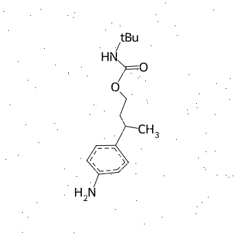 CC(CCOC(=O)NC(C)(C)C)c1ccc(N)cc1